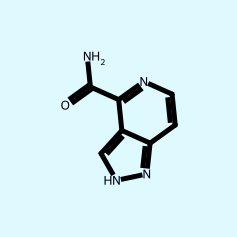 NC(=O)c1nccc2n[nH]cc12